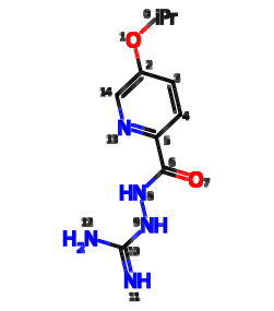 CC(C)Oc1ccc(C(=O)NNC(=N)N)nc1